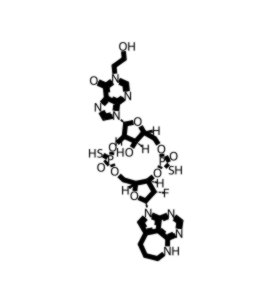 O=c1c2ncn([C@@H]3O[C@@H]4COP(=O)(S)O[C@H]5[C@H](F)[C@H](n6cc7c8c(ncnc86)NCCC7)O[C@@H]5COP(=O)(S)O[C@@H]3[C@@H]4O)c2ncn1CCO